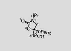 CCCCCC1(CCCCC)CN(C(C)C)C(=O)O1